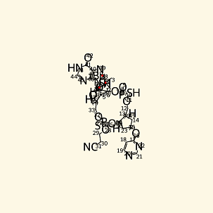 CC(C)(C)[Si](C)(C)O[C@H]1[C@H]2O[P@](=O)(S)OC[C@H]3C[C@@H](Oc4ccncn4)C[C@@H]3O[P@](=S)(OCCC#N)OC[C@H]1O[C@H]2n1cnc2c(=O)[nH]cnc21